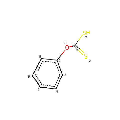 S=C(S)Oc1ccccc1